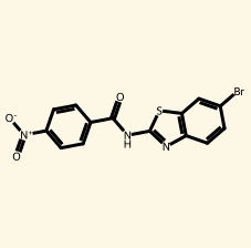 O=C(Nc1nc2ccc(Br)cc2s1)c1ccc([N+](=O)[O-])cc1